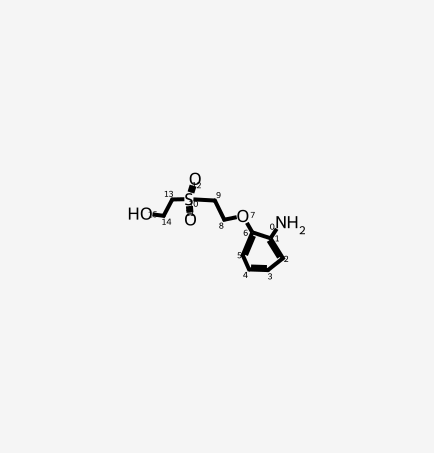 Nc1ccccc1OCCS(=O)(=O)CCO